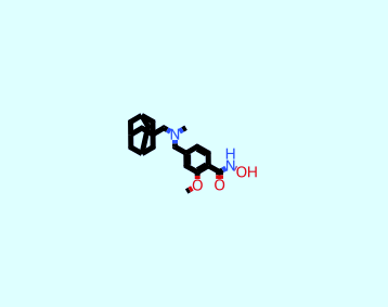 COc1cc(CN(C)CC23CC4CC(CC(C4)C2)C3)ccc1C(=O)NO